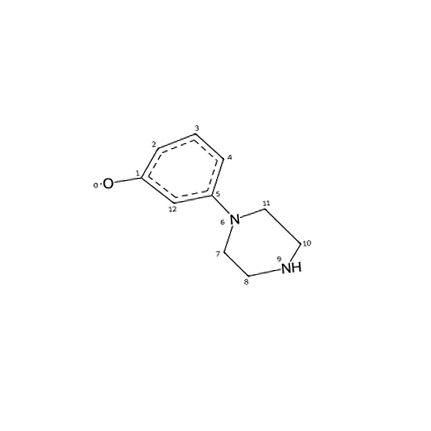 [O]c1cccc(N2CCNCC2)c1